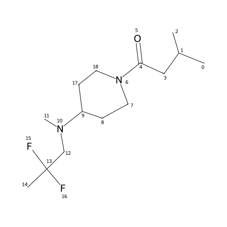 CC(C)CC(=O)N1CCC(N(C)CC(C)(F)F)CC1